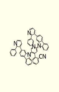 N#Cc1ccccc1-c1cc(-n2c3ccccc3c3ccc(-c4cccnc4-c4ccccc4)cc32)ncc1-n1c2ccccc2c2ccc(-c3cccnc3-c3ccccc3)cc21